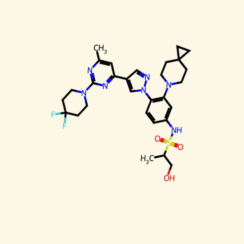 Cc1cc(-c2cnn(-c3ccc(NS(=O)(=O)C(C)CO)cc3N3CCC4(CC3)CC4)c2)nc(N2CCC(F)(F)CC2)n1